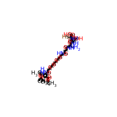 CCOC(=O)C1=C[C@@H](OC(CC)CC)[C@H](NC(C)=O)[C@@H](NC(=O)CCOCCOCCOCCOCCNC(=O)CCC(=O)NC[C@H](N)C(=O)N[C@@H](CC(=O)O)C(=O)N[C@@H](CS)C(=O)O)C1